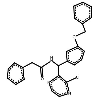 O=C(Cc1ccccc1)NC(c1cccc(OCc2ccccc2)c1)c1nccnc1Cl